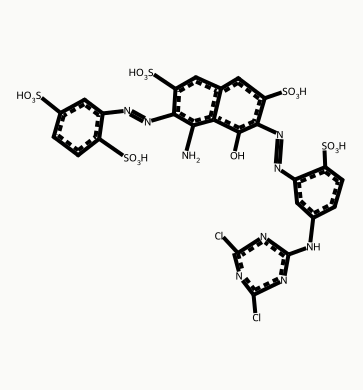 Nc1c(/N=N/c2cc(S(=O)(=O)O)ccc2S(=O)(=O)O)c(S(=O)(=O)O)cc2cc(S(=O)(=O)O)c(/N=N/c3cc(Nc4nc(Cl)nc(Cl)n4)ccc3S(=O)(=O)O)c(O)c12